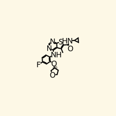 Cc1c(C(=O)NC2CC2)sc2ncnc(Nc3ccc(F)cc3O[C@@H]3CCOC3)c12